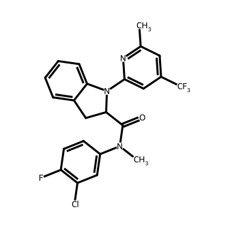 Cc1cc(C(F)(F)F)cc(N2c3ccccc3CC2C(=O)N(C)c2ccc(F)c(Cl)c2)n1